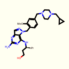 CCC[C@@H](CCO)Nc1nc(N)nc2cnn(Cc3ccc(CN4CCN(CC5CC5)CC4)cc3OC)c12